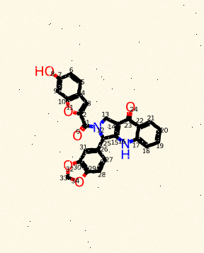 O=C(c1cc2ccc(O)cc2o1)N1Cc2c([nH]c3ccccc3c2=O)C1c1ccc2c(c1)OCO2